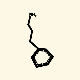 N[CH]CCc1ccccc1